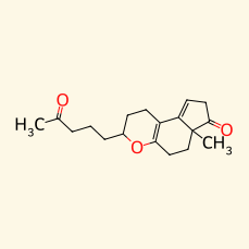 CC(=O)CCCC1CCC2=C(CCC3(C)C(=O)CC=C23)O1